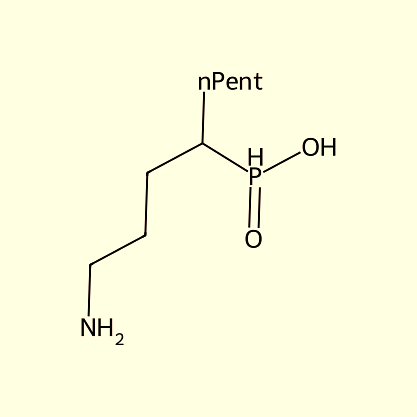 CCCCCC(CCCN)[PH](=O)O